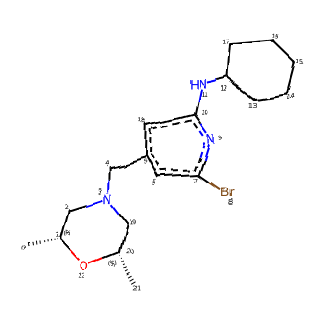 C[C@@H]1CN(Cc2cc(Br)nc(NC3CCCCC3)c2)C[C@H](C)O1